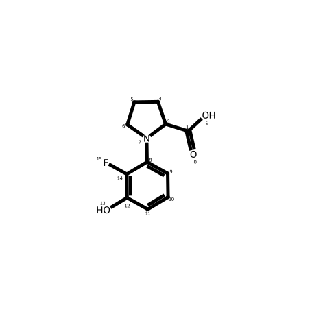 O=C(O)C1CCCN1c1cccc(O)c1F